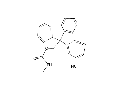 CPC(=O)OCC(c1ccccc1)(c1ccccc1)c1ccccc1.Cl